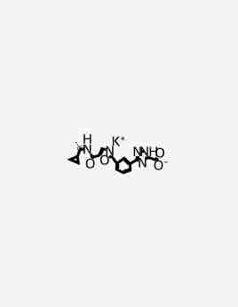 C[C@H](NC(=O)c1cnc(-c2cccc(-c3n[nH]c(C(=O)[O-])n3)c2)o1)C1CC1.[K+]